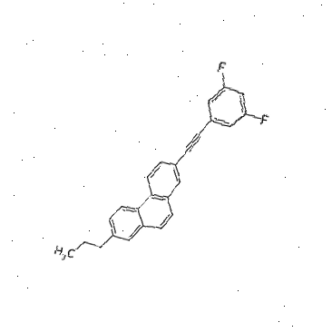 CCCc1ccc2c(ccc3cc(C#Cc4cc(F)cc(F)c4)ccc32)c1